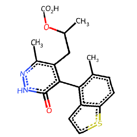 Cc1ccc2sccc2c1-c1c(CC(C)OC(=O)O)c(C)n[nH]c1=O